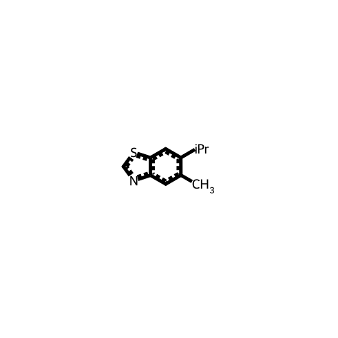 Cc1cc2ncsc2cc1C(C)C